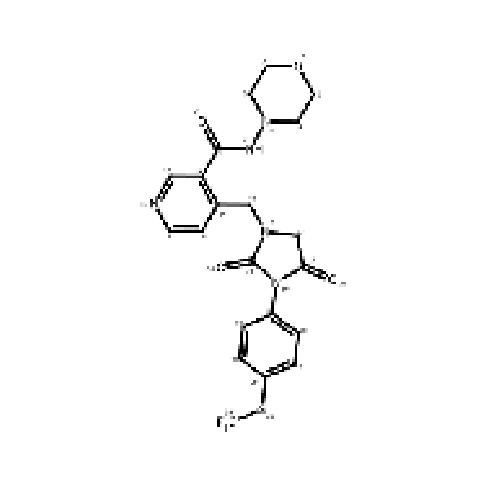 O=C(NN1CCOCC1)c1cnccc1CN1CC(=O)N(c2ccc(SC(F)(F)F)cc2)C1=O